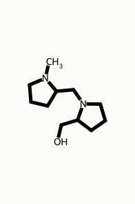 CN1CCCC1CN1CCCC1CO